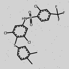 Cc1ccc(Sc2c(Cl)cc(NS(=O)(=O)c3ccc(C(F)(F)F)cc3Cl)cc2Cl)cc1C